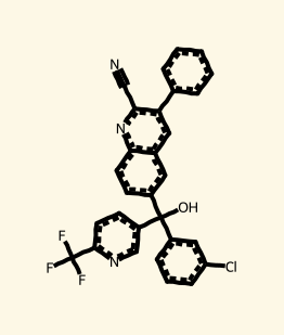 N#Cc1nc2ccc(C(O)(c3ccc(C(F)(F)F)nc3)c3cccc(Cl)c3)cc2cc1-c1ccccc1